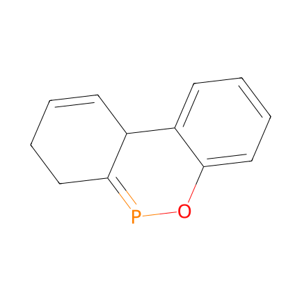 C1=CC2C(=POc3ccccc32)CC1